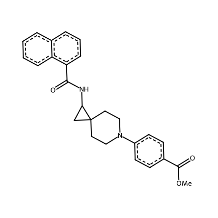 COC(=O)c1ccc(N2CCC3(CC2)CC3NC(=O)c2cccc3ccccc23)cc1